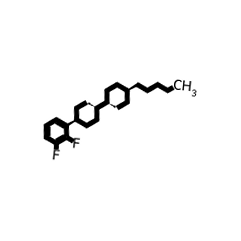 CCCCC[C@H]1CC[C@H]([C@H]2CC[C@H](c3cccc(F)c3F)CC2)CC1